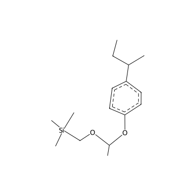 CCC(C)c1ccc(OC(C)OC[Si](C)(C)C)cc1